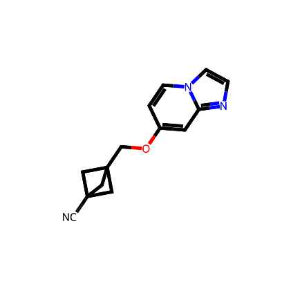 N#CC12CC(COc3ccn4ccnc4c3)(C1)C2